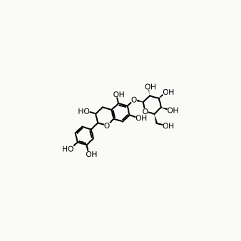 OC[C@H]1O[C@@H](Oc2c(O)cc3c(c2O)CC(O)C(c2ccc(O)c(O)c2)O3)[C@H](O)[C@@H](O)[C@H]1O